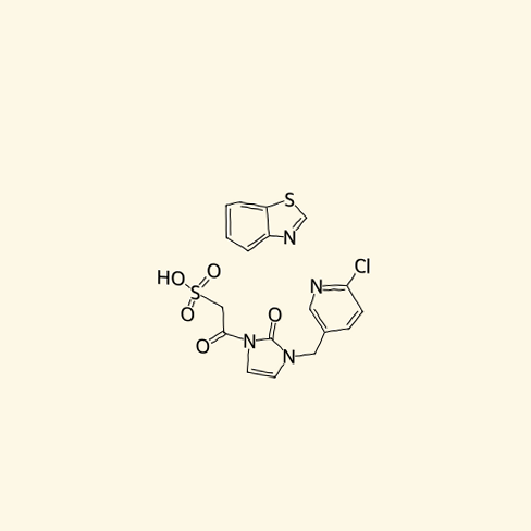 O=C(CS(=O)(=O)O)n1ccn(Cc2ccc(Cl)nc2)c1=O.c1ccc2scnc2c1